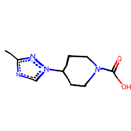 Cc1ncn(C2CCN(C(=O)O)CC2)n1